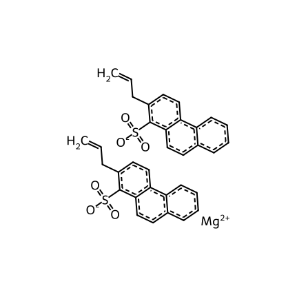 C=CCc1ccc2c(ccc3ccccc32)c1S(=O)(=O)[O-].C=CCc1ccc2c(ccc3ccccc32)c1S(=O)(=O)[O-].[Mg+2]